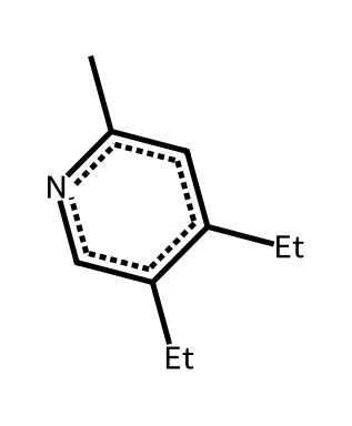 CCc1cnc(C)cc1CC